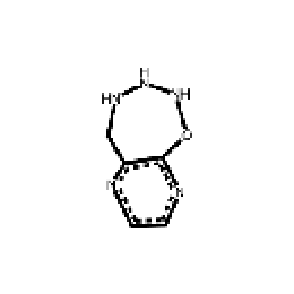 c1cnc2c(n1)CNNNO2